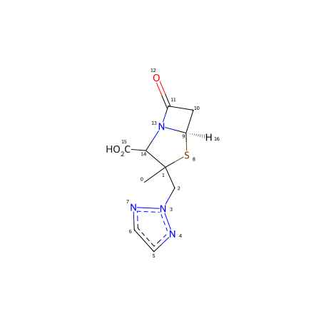 CC1(Cn2nccn2)S[C@@H]2CC(=O)N2C1C(=O)O